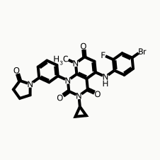 Cn1c(=O)cc(Nc2ccc(Br)cc2F)c2c(=O)n(C3CC3)c(=O)n(-c3cccc(N4CCCC4=O)c3)c21